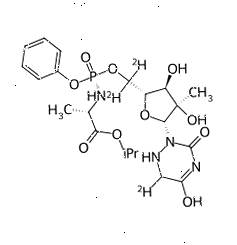 [2H]C1NN([C@@H]2O[C@H](C([2H])([2H])O[P@@](=O)(N[C@@H](C)C(=O)OC(C)C)Oc3ccccc3)[C@@H](O)[C@@]2(C)O)C(=O)N=C1O